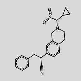 N#CC(Cc1ccccc1)c1ccc2c(c1)CN(C(C1CC1)[SH](=O)=O)CC2